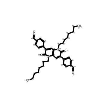 CCCCCCCCn1c(=O)c(-c2ccc(C=O)cc2)cc2c1cc(-c1ccc(C=O)cc1)c(=O)n2CCCCCCCC